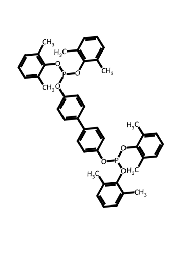 Cc1cccc(C)c1OP(Oc1ccc(-c2ccc(OP(Oc3c(C)cccc3C)Oc3c(C)cccc3C)cc2)cc1)Oc1c(C)cccc1C